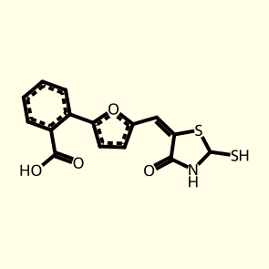 O=C1NC(S)SC1=Cc1ccc(-c2ccccc2C(=O)O)o1